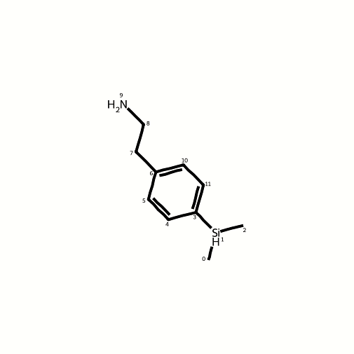 C[SiH](C)c1ccc(CCN)cc1